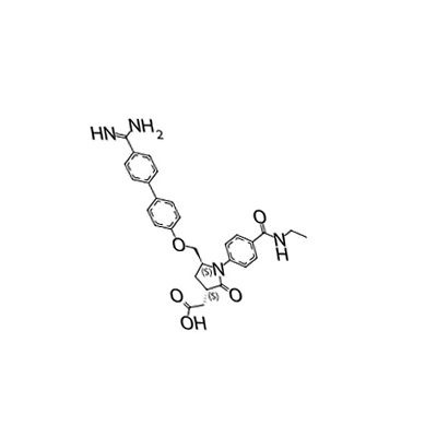 CCNC(=O)c1ccc(N2C(=O)[C@H](CC(=O)O)C[C@H]2COc2ccc(-c3ccc(C(=N)N)cc3)cc2)cc1